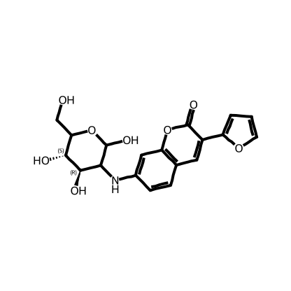 O=c1oc2cc(NC3C(O)OC(CO)[C@@H](O)[C@@H]3O)ccc2cc1-c1ccco1